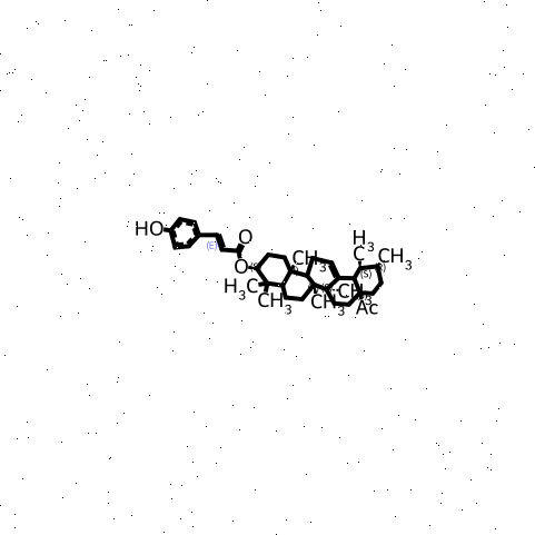 CC(=O)[C@]12CC[C@@H](C)[C@H](C)C1C1=CCC3[C@@]4(C)CC[C@H](OC(=O)/C=C/c5ccc(O)cc5)C(C)(C)C4CC[C@@]3(C)[C@]1(C)CC2